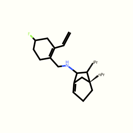 C=CC1=C(CNC2C3=CCC[C@](CCC)(C3)C2C(C)C)CCC(F)C1